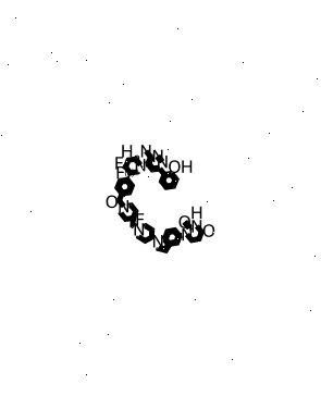 Nc1nnc(-c2ccccc2O)cc1N1CCC(F)(F)[C@H](c2ccc(C(=O)N3CCC(F)(CN4CCC(n5ccc6cc(N7CCC(=O)NC7=O)ccc65)CC4)CC3)cc2)C1